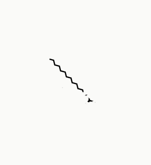 CCCCCCCCCCCCSSC(=N)N.Cl